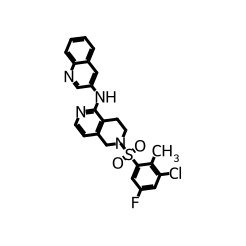 Cc1c(Cl)cc(F)cc1S(=O)(=O)N1CCc2c(ccnc2Nc2cnc3ccccc3c2)C1